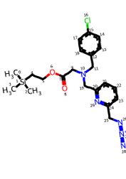 C[Si](C)(C)CCOC(=O)CN(Cc1ccc(Cl)cc1)Cc1cccc(CN=[N+]=[N-])n1